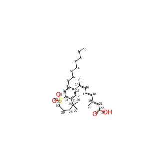 CCCCCCCCc1cc2c(cc1\C(C)=C/C=C/C(C)=C/C(=O)O)C(C)(C)CCCS2(=O)=O